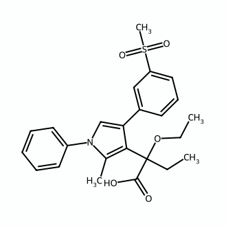 CCOC(CC)(C(=O)O)c1c(-c2cccc(S(C)(=O)=O)c2)cn(-c2ccccc2)c1C